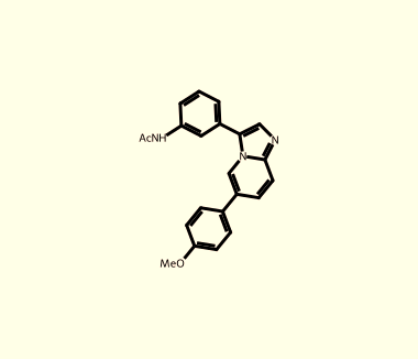 COc1ccc(-c2ccc3ncc(-c4cccc(NC(C)=O)c4)n3c2)cc1